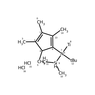 CC1=C(C)C(C)C([N+]([Ti])([SiH](C)C)C(C)(C)C)=C1C.Cl.Cl